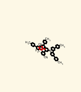 Cc1ccc(-c2ccc3c(c2)c2cc(-c4ccc(C)cc4)ccc2n3-c2ccc(-c3cc(C(F)(F)F)cc(C(F)(F)F)c3)c(-c3cc(C#N)ccc3-n3c4ccc(-c5ccc(C)cc5)cc4c4cc(-c5ccc(C)cc5)ccc43)c2)cc1